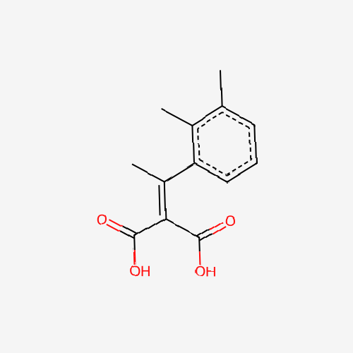 CC(=C(C(=O)O)C(=O)O)c1cccc(C)c1C